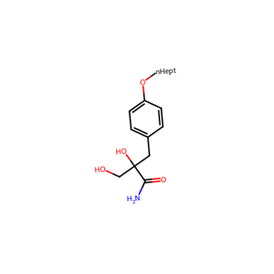 CCCCCCCOc1ccc(CC(O)(CO)C(N)=O)cc1